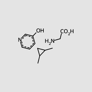 CC1CC1C.NCC(=O)O.Oc1cccnc1